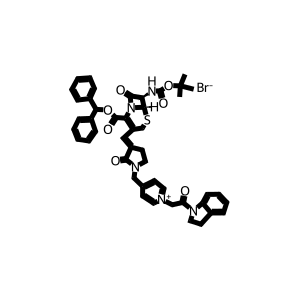 CC(C)(C)OC(=O)N[C@@H]1C(=O)N2C(C(=O)OC(c3ccccc3)c3ccccc3)=C(/C=C3\CCN(Cc4cc[n+](CC(=O)N5CCc6ccccc65)cc4)C3=O)CS[C@H]12.[Br-]